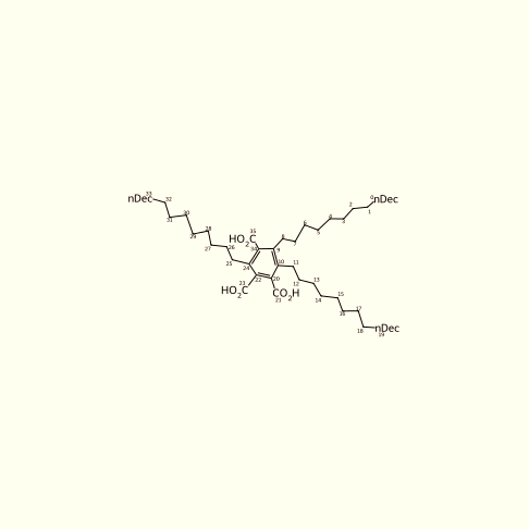 CCCCCCCCCCCCCCCCCCc1c(CCCCCCCCCCCCCCCCCC)c(C(=O)O)c(C(=O)O)c(CCCCCCCCCCCCCCCCCC)c1C(=O)O